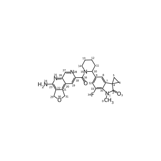 CN1C(=O)C2(CC2)c2cc(C3CCCCN3C(=O)c3cc4c5c(c(N)nc4cn3)COC5)cc(F)c21